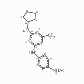 CC(=O)Nc1ccc(Nc2cc(C(F)(F)F)nc(OC3CCCC3)n2)cc1